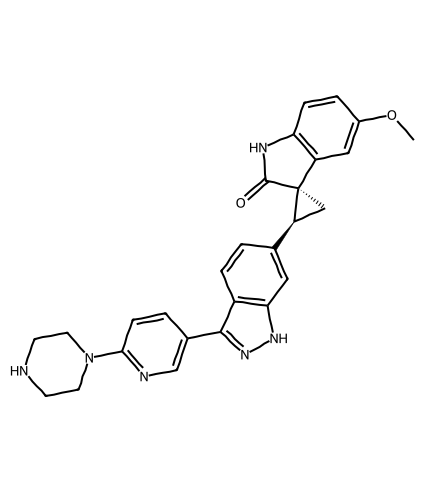 COc1ccc2c(c1)[C@]1(C[C@H]1c1ccc3c(-c4ccc(N5CCNCC5)nc4)n[nH]c3c1)C(=O)N2